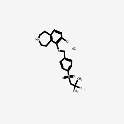 CC(C)(C)CS(=O)(=O)c1ccc(CSc2c(Cl)ccc3c2CCNCC3)cc1.Cl